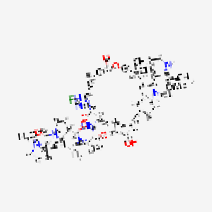 CCn1c(-c2cccnc2[C@H](C)OC)c2c3cc(ccc31)-c1cc(O)cc(c1)C[C@H](NC(=O)C(C(C)C)N(C)C(=O)[C@H]1CCN(C(=O)[C@@]3(C)CCCN3C)C1)C(=O)N(NF)CCCCC(=O)OCC(C)(C)C2